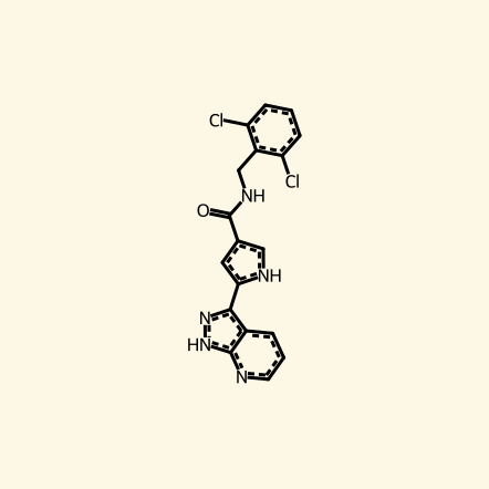 O=C(NCc1c(Cl)cccc1Cl)c1c[nH]c(-c2n[nH]c3ncccc23)c1